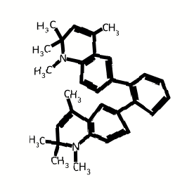 CC1=CC(C)(C)N(C)c2ccc(-c3[c]cccc3-c3ccc4c(c3)C(C)=CC(C)(C)N4C)cc21